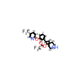 O=C(OC1C(c2cccc(Oc3ccc(C(F)(F)F)cn3)c2)CC12CCNCC2)C(F)(F)F